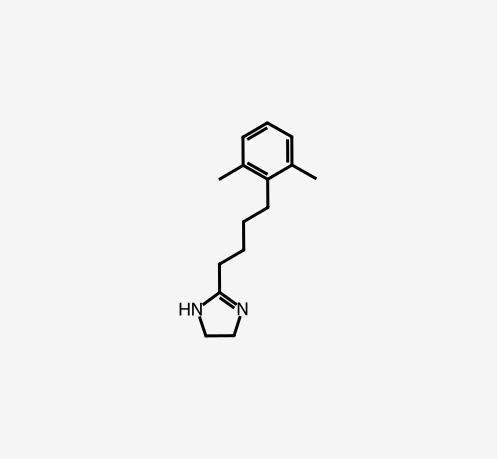 Cc1cccc(C)c1CCCCC1=NCCN1